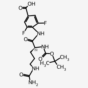 CC(C)(C)OC(=O)N[C@@H](CCCNC(N)=O)C(=O)Nc1c(F)cc(C(=O)O)cc1F